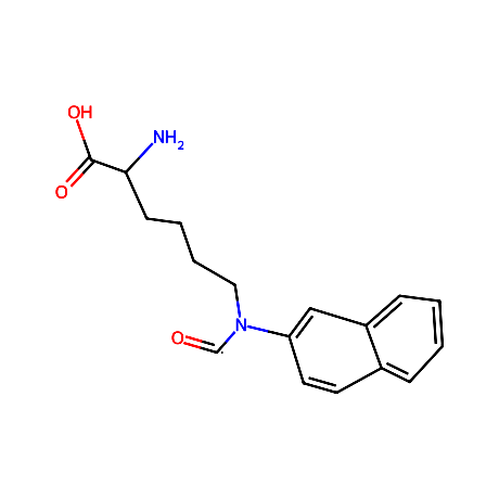 NC(CCCCN([C]=O)c1ccc2ccccc2c1)C(=O)O